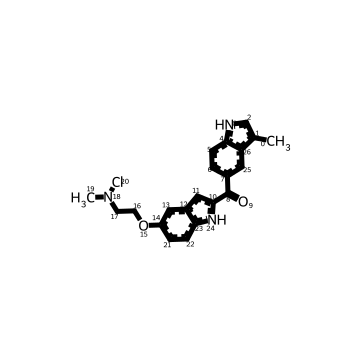 Cc1c[nH]c2ccc(C(=O)c3cc4cc(OCCN(C)Cl)ccc4[nH]3)cc12